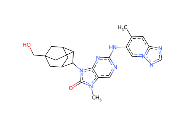 Cc1cc2ncnn2cc1Nc1ncc2c(n1)n(C1C3CC4CC(CO)(C3)CC41)c(=O)n2C